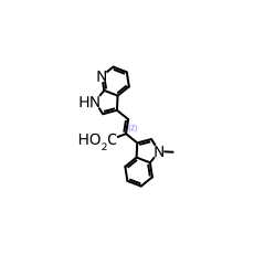 Cn1cc(/C(=C/c2c[nH]c3ncccc23)C(=O)O)c2ccccc21